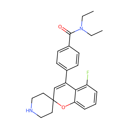 CCN(CC)C(=O)c1ccc(C2=CC3(CCNCC3)Oc3cccc(F)c32)cc1